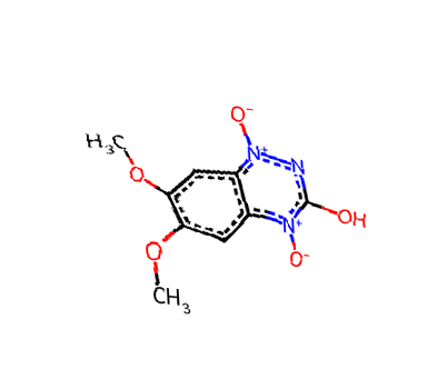 COc1cc2c(cc1OC)[n+]([O-])c(O)n[n+]2[O-]